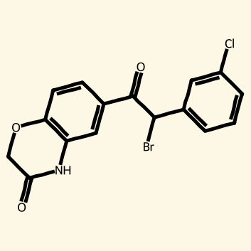 O=C1COc2ccc(C(=O)C(Br)c3cccc(Cl)c3)cc2N1